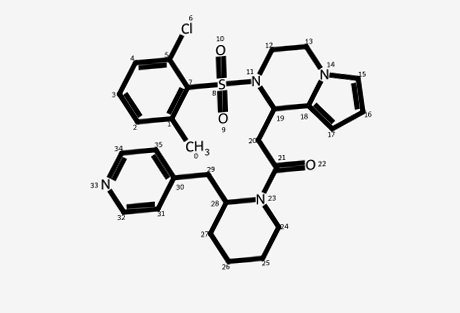 Cc1cccc(Cl)c1S(=O)(=O)N1CCn2cccc2C1CC(=O)N1CCCCC1Cc1ccncc1